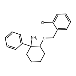 NC1(c2ccccc2)CCCCC1OCc1ccccc1Cl